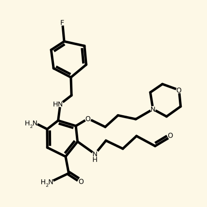 NC(=O)c1cc(N)c(NCc2ccc(F)cc2)c(OCCCN2CCOCC2)c1NCCCC=O